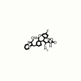 COCc1nc2ccccn2c1Cc1ccc2c(c1)COc1cc(F)ccc1C2=C(C)c1noc(=O)[nH]1